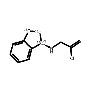 C=C(Cl)CN[13C@@H]1[13CH2][13CH2]c2ccccc21